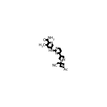 CC(=O)N1CC(CC#N)(n2cc(-c3ccnc(Nc4cnc(C(N)=O)c(C)c4)n3)cn2)C1